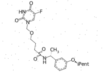 CCC[C@H](C)Oc1cccc([C@@H](C)NS(=O)(=O)CCCOCn2cc(F)c(=O)[nH]c2=O)c1